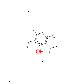 CCc1c(C)cc(Cl)c(C(C)C)c1O